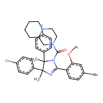 CC(C)Oc1cc(C(C)(C)C)ccc1C1=NC(C)(c2ccc(Cl)cc2)C(C)(c2ccc(Cl)cc2)N1C(=O)N1CCN2CCCCC2C1